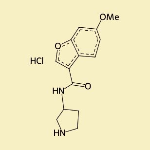 COc1ccc2c(C(=O)NC3CCNC3)coc2c1.Cl